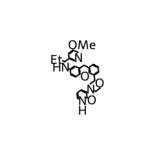 CCC(Nc1ccc2c(c1)Cc1cccc(C3CN(c4ccc[nH]c4=O)CCO3)c1O2)c1cncc(OC)c1